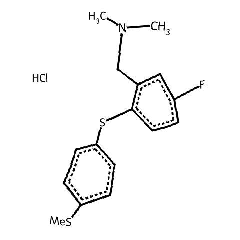 CSc1ccc(Sc2ccc(F)cc2CN(C)C)cc1.Cl